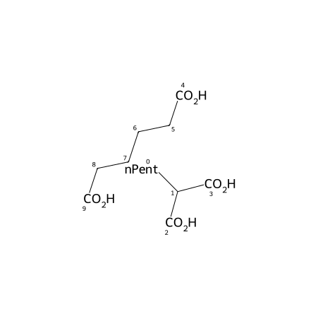 CCCCCC(C(=O)O)C(=O)O.O=C(O)CCCCC(=O)O